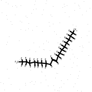 FC(=C(F)C(F)(F)C(F)(F)C(F)(F)C(F)(F)C(F)(F)C(F)(F)C(F)(F)C(F)(F)C(F)(F)F)C(F)C(F)(F)C(F)(F)C(F)(F)C(F)(F)C(F)(F)C(F)(F)C(F)(F)C(F)(F)F